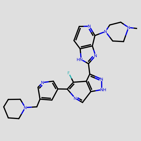 CN1CCN(c2nccc3[nH]c(-c4n[nH]c5cnc(-c6cncc(CN7CCCCC7)c6)c(F)c45)nc23)CC1